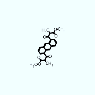 COC(=O)C(C)C(=O)c1cccc2cc3c(C(=O)C(C)C(=O)OC)cccc3cc12